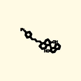 CC(C)c1ccc(CCCCc2cccc3c(-c4c(O)ccc5ccccc45)c(O)ccc23)cc1